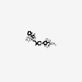 CN(C)C(=O)c1ccc(N2CCC3(CC2)CC3CCN(C)C(=O)[C@](O)(c2ccccc2)C(F)(F)F)cc1Cl